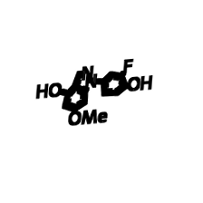 COc1cc(O)c2cnn(-c3ccc(O)c(F)c3)c2c1